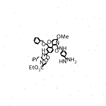 CCOC(=O)c1coc([C@H](CC(C)C)NC(=O)c2ccc(-c3ccc(OC)nc3C(=O)Nc3ccc(C(=N)N)cc3)c(C(=O)OCc3ccccc3)c2)n1